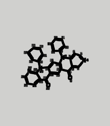 O=c1c2cnccc2n(-c2ccccc2)c2cc3c(cc12)c(=O)c1cccnc1n3-c1ccccc1